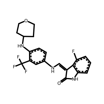 O=C1Nc2cccc(F)c2C1=CNc1ccc(NC2CCOCC2)c(C(F)(F)F)c1